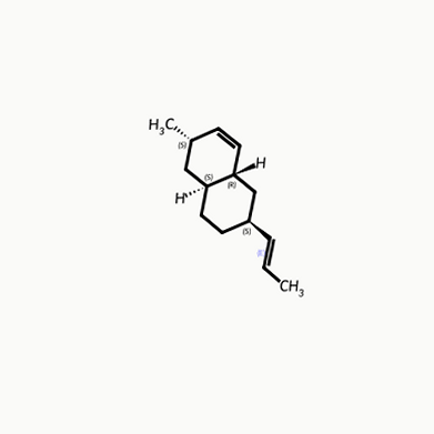 C/C=C/[C@H]1CC[C@H]2C[C@H](C)C=C[C@@H]2C1